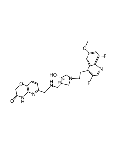 COc1cc(F)c2ncc(F)c(CCN3C[C@H](CNCc4ccc5c(n4)NC(=O)CO5)[C@H](O)C3)c2c1